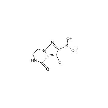 O=C1NCCn2nc(B(O)O)c(Cl)c21